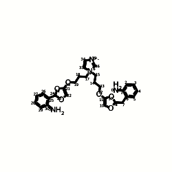 Nc1ccccc1CC1OC=C(OCCC[N+]2(CCCOC3=COC(c4ccccc4N)O3)C=C[N+]=C2)O1